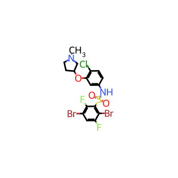 CN1CCC(Oc2cc(NS(=O)(=O)c3c(F)c(Br)cc(F)c3Br)ccc2Cl)C1